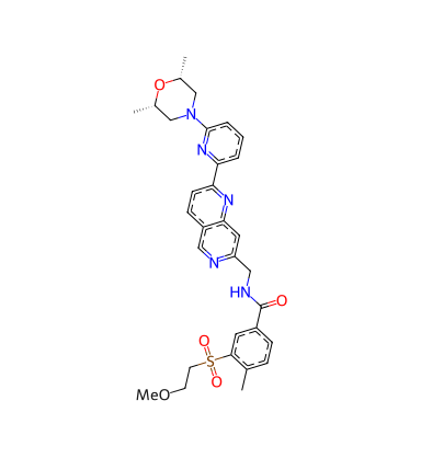 COCCS(=O)(=O)c1cc(C(=O)NCc2cc3nc(-c4cccc(N5C[C@@H](C)O[C@@H](C)C5)n4)ccc3cn2)ccc1C